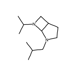 CC(C)CN1CCC2CN(C(C)C)C21